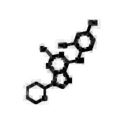 Oc1ccc(Nc2nc(Br)nc3c2ncn3C2CCCCO2)c(O)c1